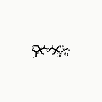 CCC(C)(COCC(C)(C)N(C)S(C)(=O)=O)C(C)C